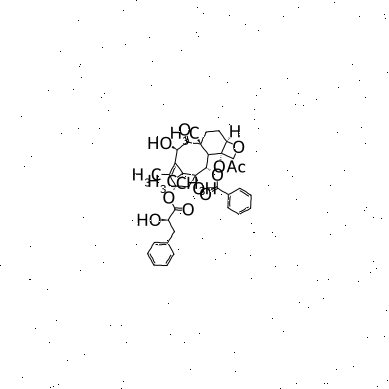 CC(=O)O[C@@]12CO[C@@H]1CC[C@@]1(C)C(=O)[C@H](O)C3=C(C)[C@@H](OC(=O)[C@H](O)Cc4ccccc4)C[C@@](O)([C@@H](OC(=O)c4ccccc4)C12)C3(C)C